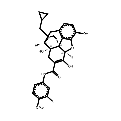 COc1ccc(NC(=O)C2=C(O)[C@@H]3Oc4c(O)ccc5c4[C@@]34CCN(CC3CC3)[C@H](C5)[C@]4(O)C2)cc1F